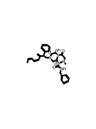 C=C(/C=C\C=C/C)C(CN1C[C@H]2N(C(=O)CN(C)N2C(=O)NCc2ccccc2)[C@@H](CCC)C1=O)c1ccccc1